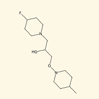 CC1CCN(OCC(O)CN2CCC(F)CC2)CC1